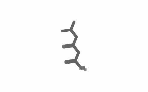 CC(C)CC(=O)CC(N)=O